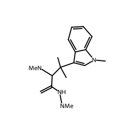 C=C(NNC)C(NC)C(C)(C)c1cn(C)c2ccccc12